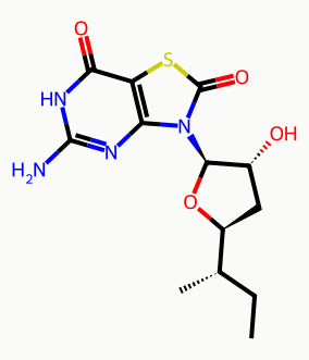 CC[C@H](C)[C@@H]1C[C@@H](O)[C@H](n2c(=O)sc3c(=O)[nH]c(N)nc32)O1